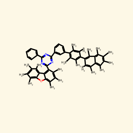 Bc1c(B)c(-c2c(B)c(B)c3c(B)c(B)c(B)c(B)c3c2B)c(B)c(B)c1-c1cccc(-c2nc(-c3ccccc3)nc(-c3c(B)c(B)c(B)c4oc5c(B)c(B)c(B)c(B)c5c34)n2)c1